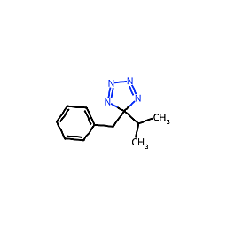 CC(C)C1(Cc2ccccc2)N=NN=N1